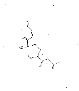 C=C/C=C\C(=C/C)C1(C#N)CCN(C(=C)SC(=C)C)CC1